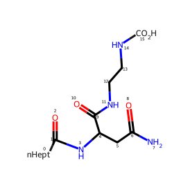 CCCCCCCC(=O)NC(CC(N)=O)C(=O)NCCNC(=O)O